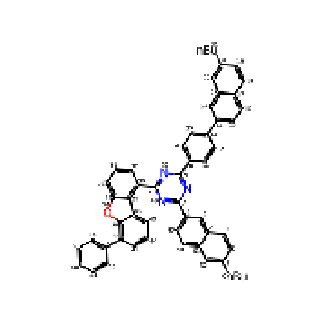 CCCCc1ccc2cc(-c3nc(-c4ccc(-c5ccc6ccc(CCCC)cc6c5)cc4)nc(-c4cccc5oc6c(-c7ccccc7)cccc6c45)n3)ccc2c1